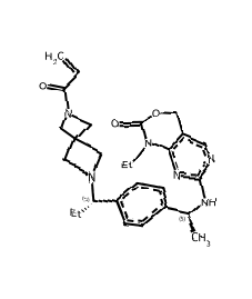 C=CC(=O)N1CC2(C1)CN([C@@H](CC)c1ccc([C@H](C)Nc3ncc4c(n3)N(CC)C(=O)OC4)cc1)C2